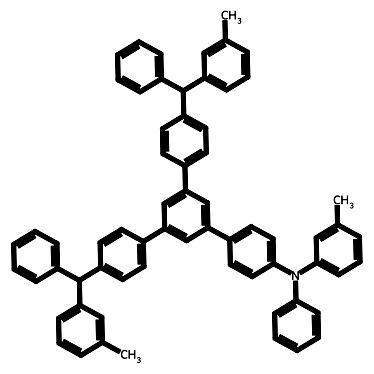 Cc1cccc(C(c2ccccc2)c2ccc(-c3cc(-c4ccc(C(c5ccccc5)c5cccc(C)c5)cc4)cc(-c4ccc(N(c5ccccc5)c5cccc(C)c5)cc4)c3)cc2)c1